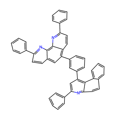 c1ccc(-c2cc(-c3cccc(-c4cc5ccc(-c6ccccc6)nc5c5nc(-c6ccccc6)ccc45)c3)c3c(ccc4ccccc43)n2)cc1